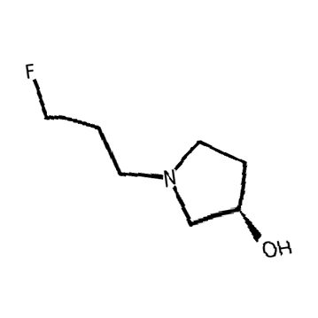 O[C@@H]1CCN(CCCF)C1